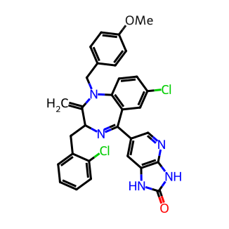 C=C1C(Cc2ccccc2Cl)N=C(c2cnc3[nH]c(=O)[nH]c3c2)c2cc(Cl)ccc2N1Cc1ccc(OC)cc1